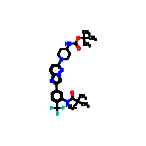 CC(C)(C)OC(=O)NC1CCN(c2ccc3nc(-c4ccc(C(F)(F)F)c(NC(=O)C(C)(C)C)c4)cn3n2)CC1